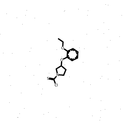 CCOc1ccccc1OC1CCN(C(=S)Cl)C1